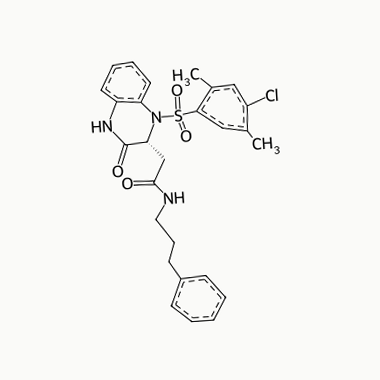 Cc1cc(S(=O)(=O)N2c3ccccc3NC(=O)[C@H]2CC(=O)NCCCc2ccccc2)c(C)cc1Cl